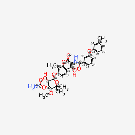 CO[C@@H]1[C@@H](OC(N)=O)[C@@H](O)[C@H](Oc2ccc3c(O)c(NC(=O)c4cccc(Oc5cccc(C)c5)c4)c(=O)oc3c2C)OC1(C)C